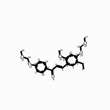 CCc1cc(/C=C/C(=O)c2ccc(OCOC)cc2)c(OC)cc1OCOC